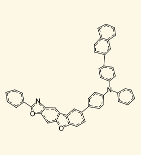 c1ccc(-c2nc3cc4c(cc3o2)oc2ccc(-c3ccc(N(c5ccccc5)c5ccc(-c6ccc7ccccc7c6)cc5)cc3)cc24)cc1